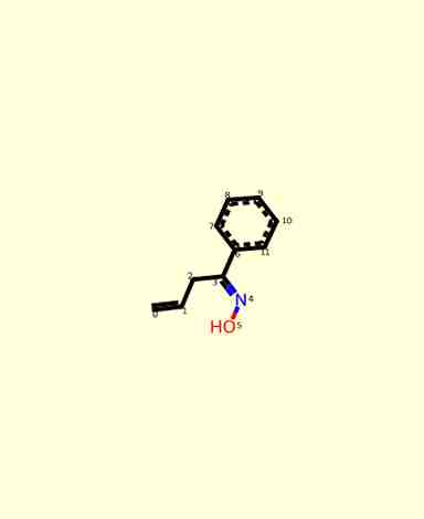 C=CCC(=NO)c1ccccc1